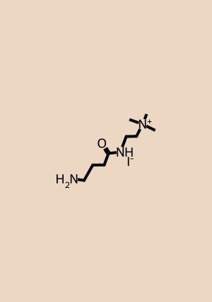 C[N+](C)(C)CCNC(=O)CCCN.[I-]